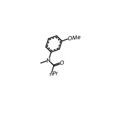 CCCC(=O)N(C)c1cccc(OC)c1